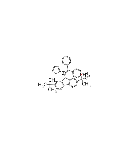 CC(C)(C)c1ccc2c(c1)[CH]([Zr]([C]1=CC=CC1)=[C](c1ccccc1)c1ccccc1)c1cc(C(C)(C)C)ccc1-2